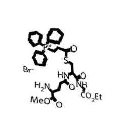 CCOC(=O)CNC(=O)C(CSC(=O)CC[P+](c1ccccc1)(c1ccccc1)c1ccccc1)NC(=O)CCC(N)C(=O)OC.[Br-]